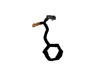 CCOC(=O)[C@H](Br)CCc1ccccc1